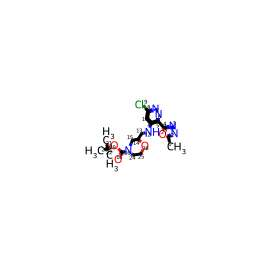 Cc1nnc(-c2nnc(Cl)cc2NCC2CN(C(=O)OC(C)(C)C)CCO2)o1